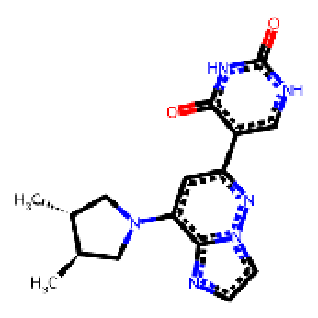 C[C@@H]1CN(c2cc(-c3c[nH]c(=O)[nH]c3=O)nn3ccnc23)C[C@H]1C